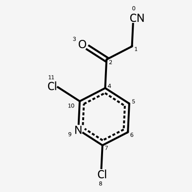 N#CCC(=O)c1ccc(Cl)nc1Cl